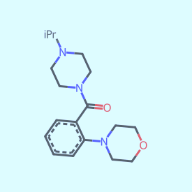 CC(C)N1CCN(C(=O)c2ccccc2N2CCOCC2)CC1